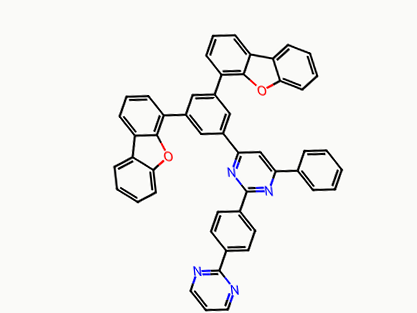 c1ccc(-c2cc(-c3cc(-c4cccc5c4oc4ccccc45)cc(-c4cccc5c4oc4ccccc45)c3)nc(-c3ccc(-c4ncccn4)cc3)n2)cc1